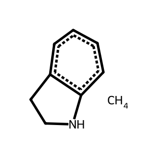 C.c1ccc2c(c1)CCN2